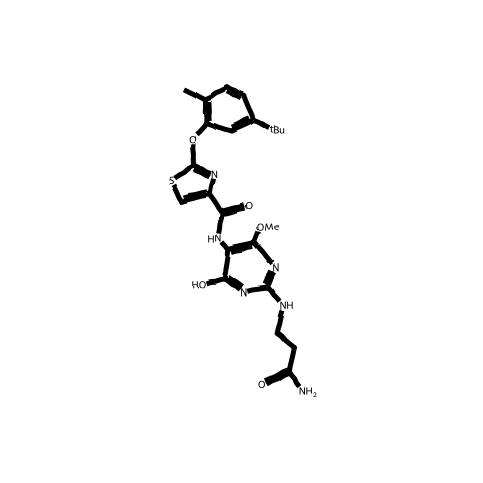 COc1nc(NCCC(N)=O)nc(O)c1NC(=O)c1csc(Oc2cc(C(C)(C)C)ccc2C)n1